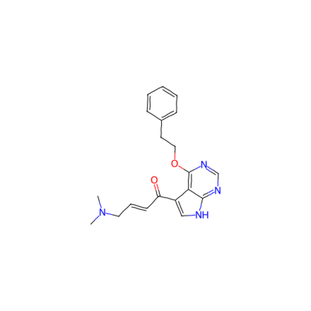 CN(C)C/C=C/C(=O)c1c[nH]c2ncnc(OCCc3ccccc3)c12